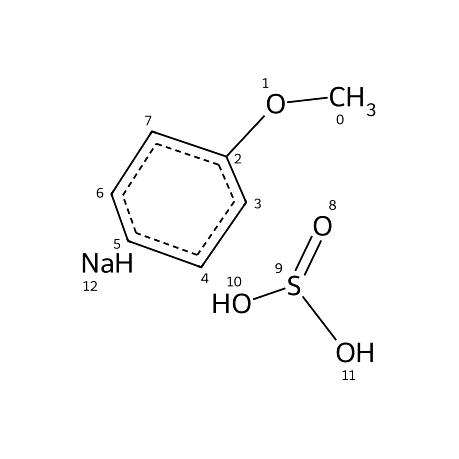 COc1ccccc1.O=S(O)O.[NaH]